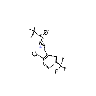 CC(C)(C)[S+]([O-])/N=C/c1cc(C(F)(F)F)ccc1Cl